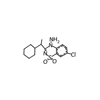 CC(C1=NS(=O)(=O)c2cc(Cl)ccc2N1N)C1CCCCC1